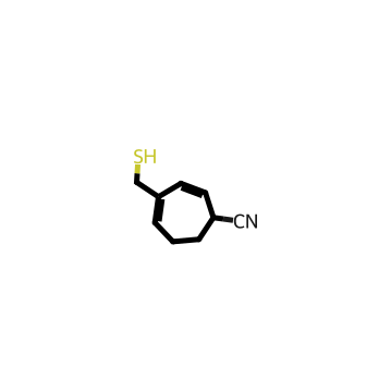 N#CC1C=CC(CS)=CCC1